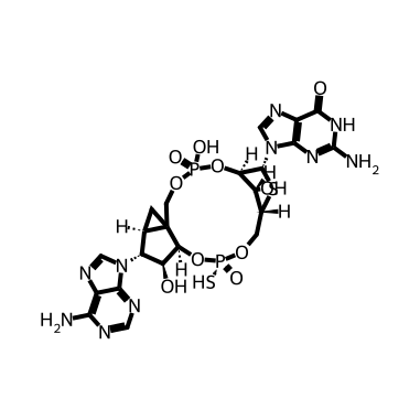 Nc1nc2c(ncn2[C@@H]2S[C@@H]3CO[P@](=O)(S)O[C@H]4[C@@H](O)[C@H](n5cnc6c(N)ncnc65)[C@H]5CC54COP(=O)(O)O[C@@H]2[C@@H]3O)c(=O)[nH]1